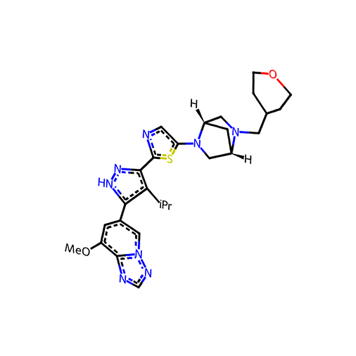 COc1cc(-c2[nH]nc(-c3ncc(N4C[C@@H]5C[C@H]4CN5CC4CCOCC4)s3)c2C(C)C)cn2ncnc12